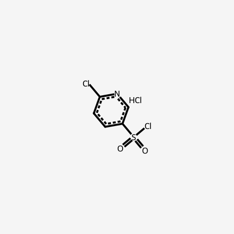 Cl.O=S(=O)(Cl)c1ccc(Cl)nc1